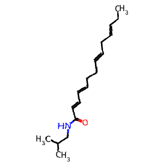 CCC=CCC=CCC/C=C/C=C/C(=O)NCC(C)C